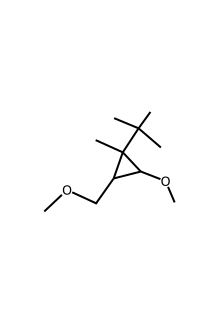 COCC1C(OC)C1(C)C(C)(C)C